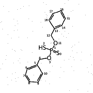 S=P(S)(OCc1ccccc1)OCc1ccccc1